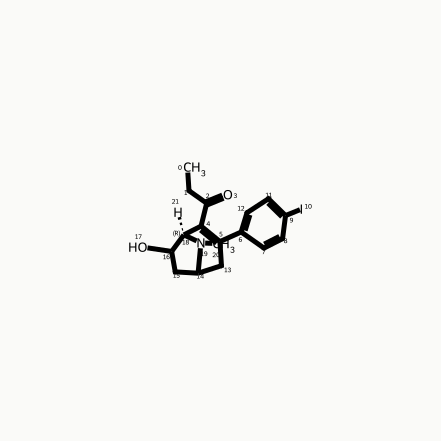 CCC(=O)C1=C(c2ccc(I)cc2)CC2CC(O)[C@@H]1N2C